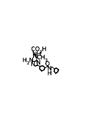 CC(=NNCC(=O)O)c1nc(-c2cccc(C(=O)NCc3ccccc3)c2)cnc1N